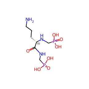 NCCC[C@H](NCP(=O)(O)O)C(=O)NCP(=O)(O)O